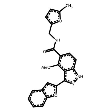 COc1c(C(=O)NCc2ccc(C)o2)ccc2[nH]nc(-c3cc4ccccc4o3)c12